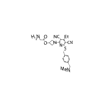 CCc1c(C#N)c(SCc2ccc(CNC)cc2)nc(N2CC(OC(=O)CN)C2)c1C#N